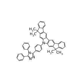 CC1(C)c2ccccc2-c2cc3c4cc5c(cc4n(-c4ccc(-c6nnc(-c7ccccc7)n6-c6ccccc6)cc4)c3cc21)C(C)(C)c1ccccc1-5